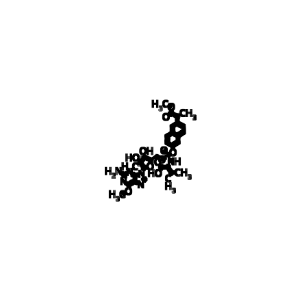 COC(=O)[C@@H](C)c1ccc2cc(OP(=O)(NC(C(=O)O)C(C)C)OC[C@H]3OC(n4cnc5c(OC)nc(N)nc54)[C@](C)(O)[C@@H]3O)ccc2c1